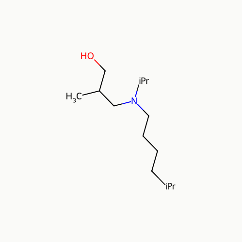 CC(C)CCCCN(CC(C)CO)C(C)C